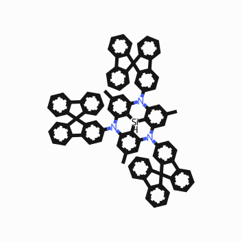 Cc1cc2c3c(c1)N(c1ccc4c(c1)C1(c5ccccc5-c5ccccc51)c1ccccc1-4)c1cc(C)cc4c1[SiH]3c1c(cc(C)cc1N4c1ccc3c(c1)C1(c4ccccc4-c4ccccc41)c1ccccc1-3)N2c1ccc2c(c1)C1(c3ccccc3-c3ccccc31)c1ccccc1-2